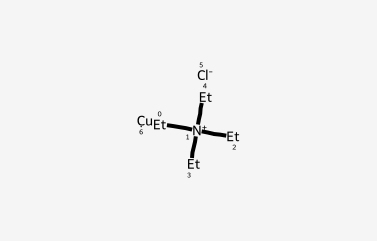 CC[N+](CC)(CC)CC.[Cl-].[Cu]